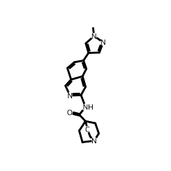 Cn1cc(-c2ccc3cnc(NC(=O)C45CCN(CC4)CC5)cc3c2)cn1